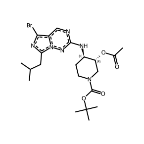 CC(=O)O[C@@H]1CN(C(=O)OC(C)(C)C)CC[C@H]1Nc1ncc2c(Br)nc(CC(C)C)n2n1